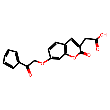 O=C(O)Cc1cc2ccc(OCC(=O)c3ccccc3)cc2oc1=O